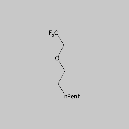 [CH2]CCCCCCOCC(F)(F)F